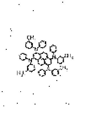 Cc1cccc(N(c2ccccc2)c2cc(N(c3ccccc3)c3cccc(C)c3)c3ccc4c(N(c5ccccc5)c5cccc(C)c5)cc(N(c5ccccc5)c5cccc(C)c5)c5ccc2c3c54)c1